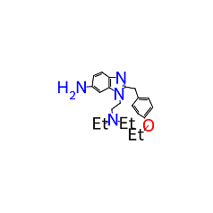 CCOc1ccc(Cc2nc3ccc(N)cc3n2CCN(CC)CC)cc1